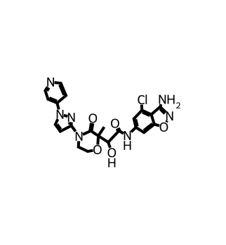 CC1(C(O)C(=O)Nc2cc(Cl)c3c(N)noc3c2)OCCN(c2ccn(-c3ccncc3)n2)C1=O